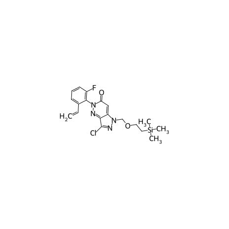 C=Cc1cccc(F)c1-n1nc2c(Cl)nn(COCC[Si](C)(C)C)c2cc1=O